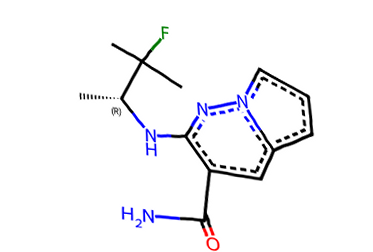 C[C@@H](Nc1nn2cccc2cc1C(N)=O)C(C)(C)F